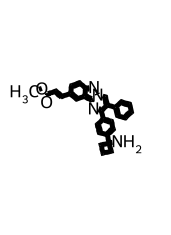 COC(=O)C=Cc1ccc2nn3cc(-c4ccccc4)c(-c4ccc(C5(N)CCC5)cc4)nc3c2c1